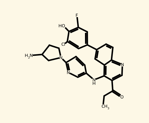 CCC(=O)c1cnc2ccc(-c3cc(F)c(O)c(Cl)c3)cc2c1Nc1ccc(N2CCC(N)C2)nc1